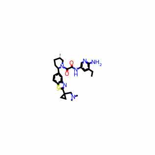 CCc1cc(NC(=O)C(=O)N2C[C@@H](C)CCC2c2ccc3sc(C4(CN(C)C)CC4)nc3c2)cnc1N